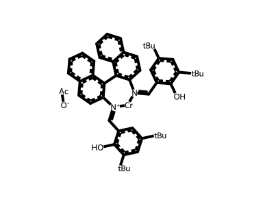 CC(=O)[O-].CC(C)(C)c1cc(C=[N+]2[Cr][N+](=Cc3cc(C(C)(C)C)cc(C(C)(C)C)c3O)c3ccc4ccccc4c3-c3c2ccc2ccccc32)c(O)c(C(C)(C)C)c1